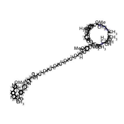 COc1ccc(-c2ccc3ncc4c(c3c2)n(-c2ccc(N3CCN(c5ncc(CNC(=O)CCOCCOCCOCCOCCOCCOCCOCCOCCNC(=O)O[C@H]6CC[C@H](C[C@H](N)[C@H]7C[C@H](O)[C@@H](C)/C=C(\C)[C@H](O)[C@H](O)C(=O)[C@@H](C)C[C@@H](C)/C=C/C=C/C=C(\C)[C@H](OC)C[C@H]8CC[C@H](C)[C@](O)(O8)C(=O)C(=O)N8CCCC[C@@H]8C(=O)O7)C[C@@H]6OC)cn5)CC3)c(C(F)(F)F)c2)c(=O)n4C)cn1